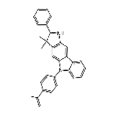 C=C(C)c1ccc(-n2c3ccccc3c3cc4c(cc32)C(C)(C)C(c2ccccc2)N4)cc1